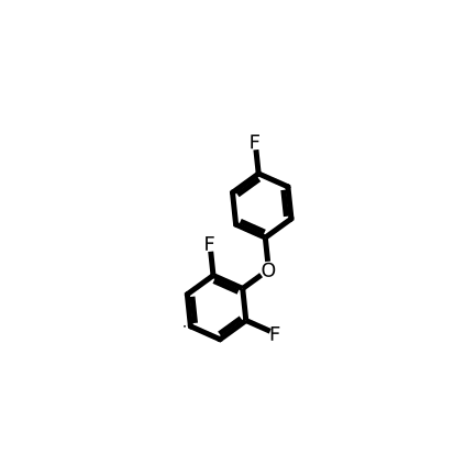 Fc1ccc(Oc2c(F)c[c]cc2F)cc1